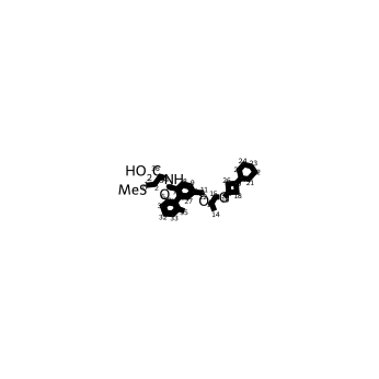 CSCC[C@H](NC(=O)c1ccc(COC(C)COC2CC(C3CCCCC3)C2)cc1-c1ccccc1C)C(=O)O